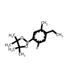 CCc1cc(F)c(B2OC(C)(C)C(C)(C)O2)cc1C